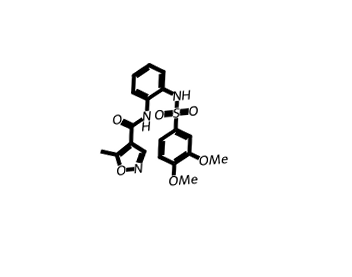 COc1ccc(S(=O)(=O)Nc2ccccc2NC(=O)c2cnoc2C)cc1OC